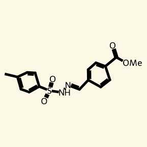 COC(=O)c1ccc(C=NNS(=O)(=O)c2ccc(C)cc2)cc1